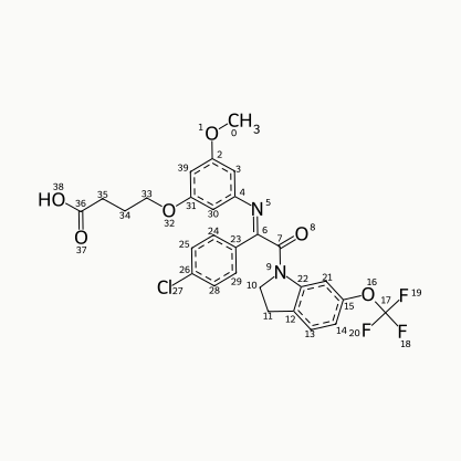 COc1cc(/N=C(/C(=O)N2CCc3ccc(OC(F)(F)F)cc32)c2ccc(Cl)cc2)cc(OCCCC(=O)O)c1